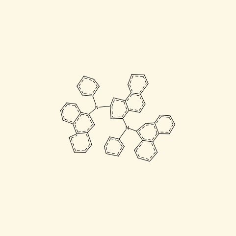 c1ccc(N(c2cc(N(c3ccccc3)c3cc4ccccc4c4ccccc34)c3ccc4ccccc4c3c2)c2cc3ccccc3c3ccccc23)cc1